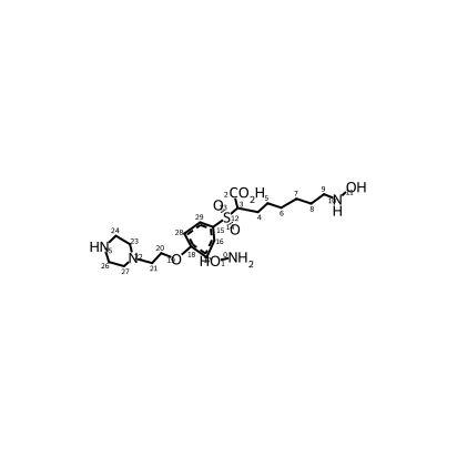 NO.O=C(O)C(CCCCCCNO)S(=O)(=O)c1ccc(OCCN2CCNCC2)cc1